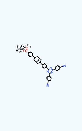 CC1(C)OB(c2ccc(C3CC4CC(C3)CC(c3ccc(-c5nc(-c6ccc(C#N)cc6)nc(-c6ccc(C#N)cc6)n5)cc3)C4)cc2)OC1(C)C